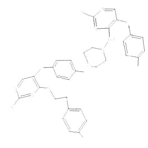 Nc1ncc(Sc2ccc(Cl)cc2)c(NCCc2ccc(O)cc2)n1.Nc1ncc(Sc2ccc(Cl)cc2)c(NN2CCOCC2)n1